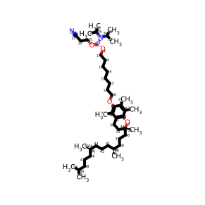 Cc1c(C)c2c(c(C)c1OCCCCCCCCOP(OCCC#N)N(C(C)C)C(C)C)CC[C@@](C)(CCC[C@H](C)CCC[C@H](C)CCCC(C)C)O2